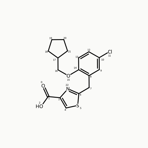 O=C(O)c1csc(Cc2cc(Cl)ccc2OCC2CCCC2)n1